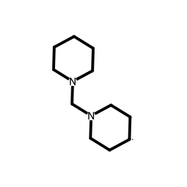 [CH]1CCN(CN2CCCCC2)CC1